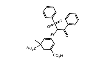 CC1(C(=O)O)C=CC=C(C(=O)O)C1.CCC(C(=O)c1ccccc1)S(=O)(=O)c1ccccc1